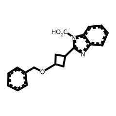 O=C(O)n1c(C2CC(OCc3ccccc3)C2)nc2ccccc21